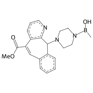 COC(=O)C1=Cc2ccccc2C(N2CCN(B(C)O)CC2)c2ncccc21